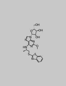 COc1nc(N[C@H](C)CSc2nc3ccccc3s2)c2ncn([C@@H]3O[C@H](CO)[C@@H](O)[C@H]3O)c2n1